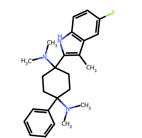 Cc1c(C2(N(C)C)CCC(c3ccccc3)(N(C)C)CC2)[nH]c2ccc(F)cc12